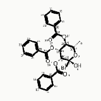 C[C@@H]1O[C@](O)(Br)[C@H](OC(=O)c2ccccc2)[C@H](OC(=O)c2ccccc2)[C@H]1OC(=O)c1ccccc1